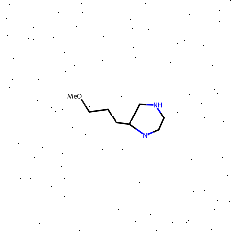 COCCCC1CNCC[N]1